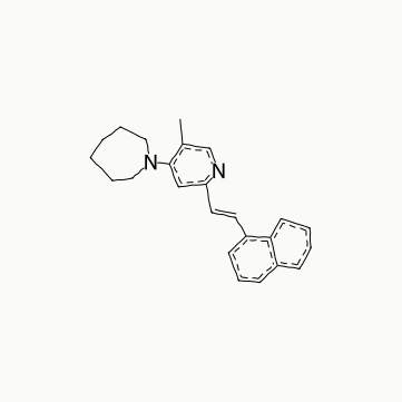 Cc1cnc(C=Cc2cccc3ccccc23)cc1N1CCCCCC1